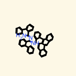 N/C(=N\C(NCc1ccccc1-c1c2ccccc2cc2c1ccc1ccccc12)c1ccccc1-c1ccccc1)c1ccccc1-c1ccccc1